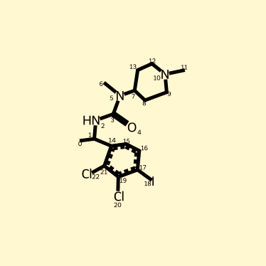 CC(NC(=O)N(C)C1CCN(C)CC1)c1ccc(I)c(Cl)c1Cl